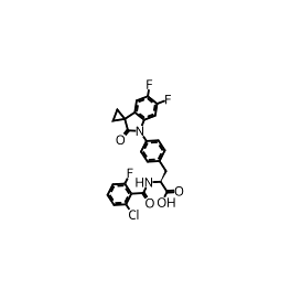 O=C(N[C@@H](Cc1ccc(N2C(=O)C3(CC3)c3cc(F)c(F)cc32)cc1)C(=O)O)c1c(F)cccc1Cl